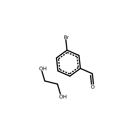 O=Cc1cccc(Br)c1.OCCO